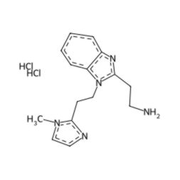 Cl.Cl.Cn1ccnc1CCn1c(CCN)nc2ccccc21